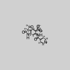 CC(=O)C1(C)C(=O)Nc2cc(NC(=O)c3ccncc3)c([N+](=O)[O-])cc21